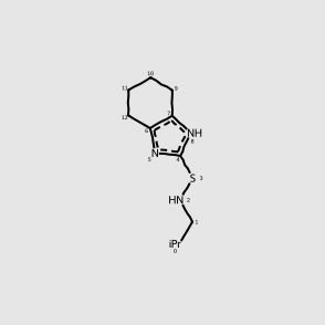 CC(C)CNSc1nc2c([nH]1)CCCC2